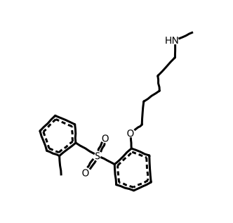 CNCCCCCOc1ccccc1S(=O)(=O)c1ccccc1C